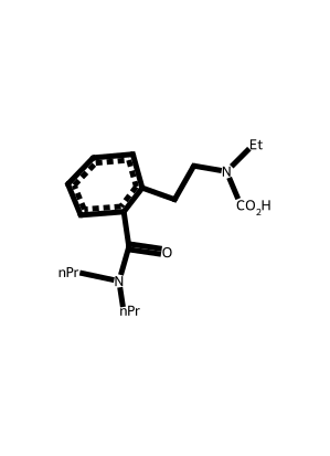 CCCN(CCC)C(=O)c1ccccc1CCN(CC)C(=O)O